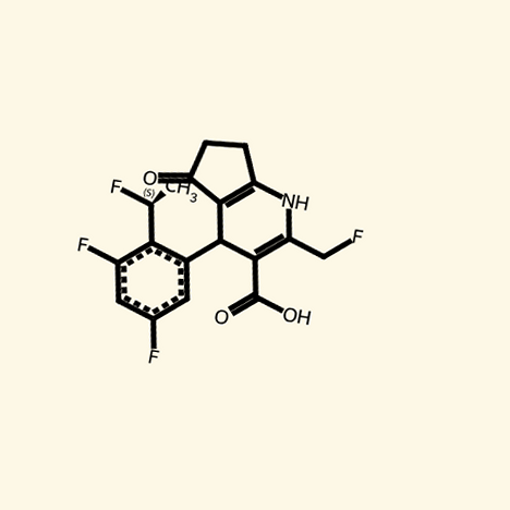 C[C@H](F)c1c(F)cc(F)cc1C1C(C(=O)O)=C(CF)NC2=C1C(=O)CC2